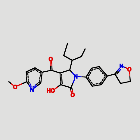 CCC(CC)C1C(C(=O)c2ccc(OC)nc2)=C(O)C(=O)N1c1ccc(C2=NOCC2)cc1